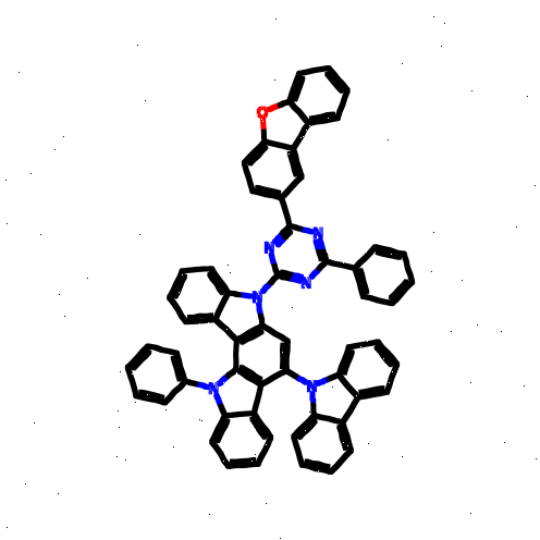 c1ccc(-c2nc(-c3ccc4oc5ccccc5c4c3)nc(-n3c4ccccc4c4c3cc(-n3c5ccccc5c5ccccc53)c3c5ccccc5n(-c5ccccc5)c34)n2)cc1